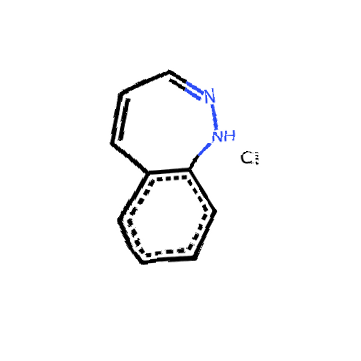 C1=Cc2ccccc2NN=C1.[C]